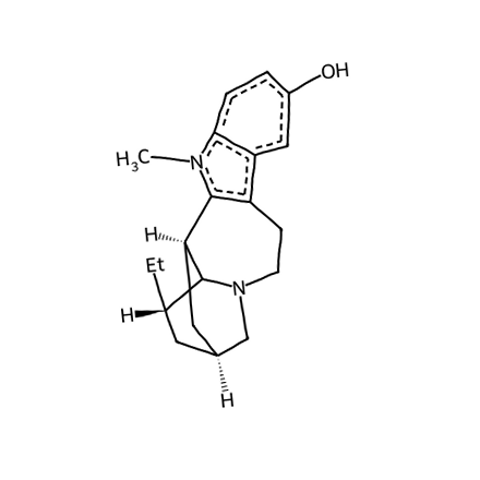 CC[C@H]1C[C@H]2C[C@H]3c4c(c5cc(O)ccc5n4C)CCN(C2)C13